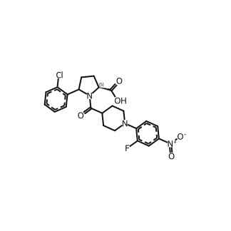 O=C(O)[C@@H]1CCC(c2ccccc2Cl)N1C(=O)C1CCN(c2ccc([N+](=O)[O-])cc2F)CC1